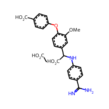 CC(=O)O.COc1cc(C(Nc2ccc(C(=N)N)cc2)C(=O)O)ccc1Oc1ccc(C(=O)O)cc1